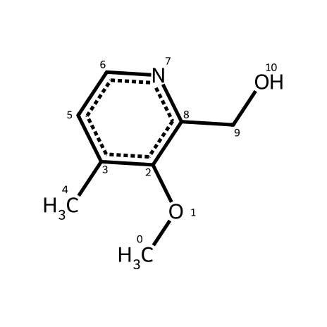 COc1c(C)ccnc1CO